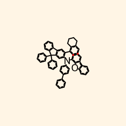 c1ccc(-c2ccc(N(c3cc4c(cc3-c3cccc5c3CCCC5)-c3ccccc3C4(c3ccccc3)c3ccccc3)c3cccc4c3oc3ccccc34)cc2)cc1